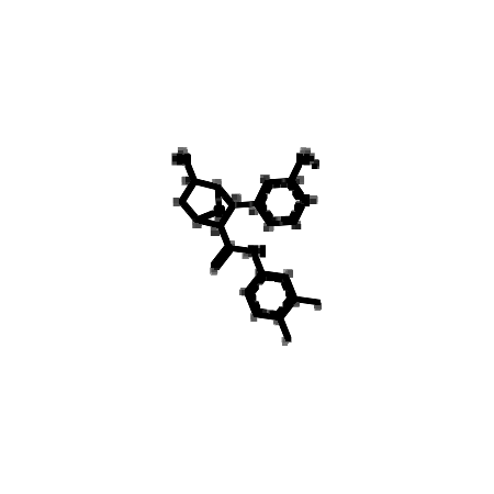 C=C(Nc1ccc(C)c(C)c1)C1C2CC(O)C(O2)C1c1ccnc(N)c1